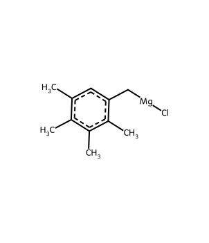 Cc1cc([CH2][Mg][Cl])c(C)c(C)c1C